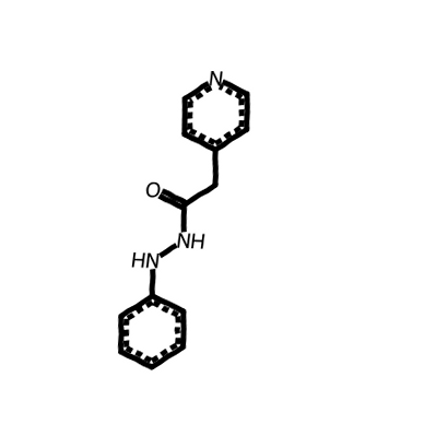 O=C(Cc1ccncc1)NNc1ccccc1